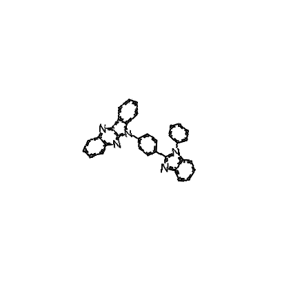 c1ccc(-n2c(-c3ccc(-n4c5ccccc5c5nc6ccccc6nc54)cc3)nc3ccccc32)cc1